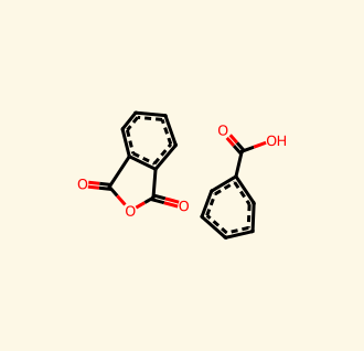 O=C(O)c1ccccc1.O=C1OC(=O)c2ccccc21